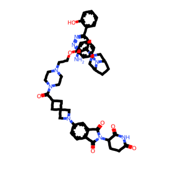 Nc1nnc(-c2ccccc2O)cc1N1CC2CCC(C1)N2c1cccc(OCCN2CCN(C(=O)C3CC4(C3)CN(c3ccc5c(c3)C(=O)N(C3CCC(=O)NC3=O)C5=O)C4)CC2)c1